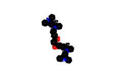 Cc1ccccc1N(c1ccc2cc3c(cc2c1)oc1c3ccc2oc3cc4cc(N(c5cc6c7ccccc7n7c8ccccc8c(c5)c67)c5ccccc5C)ccc4cc3c21)c1cc2c3ccccc3n3c4ccccc4c(c1)c23